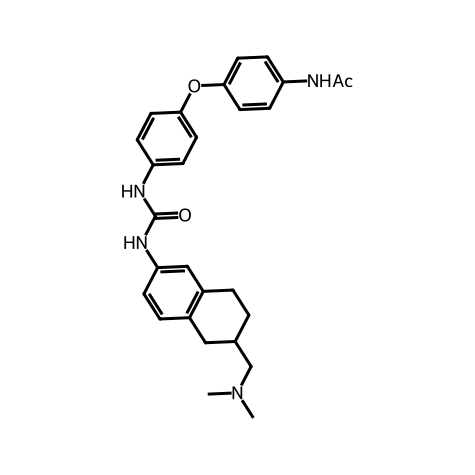 CC(=O)Nc1ccc(Oc2ccc(NC(=O)Nc3ccc4c(c3)CCC(CN(C)C)C4)cc2)cc1